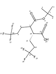 CC(C)(C)OC(=O)C(CCC(F)(F)F)[C@@H](CCC(F)(F)F)C(=O)O